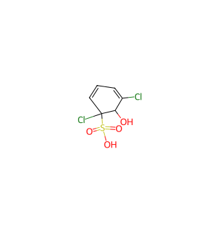 O=S(=O)(O)C1(Cl)C=CC=C(Cl)C1O